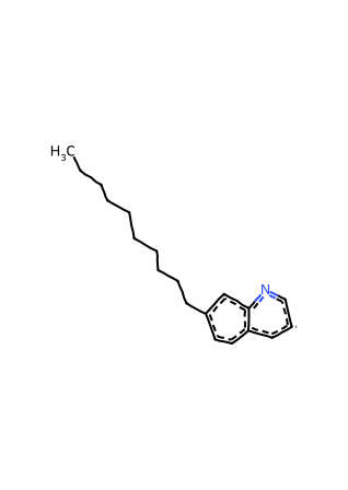 CCCCCCCCCCc1ccc2c[c]cnc2c1